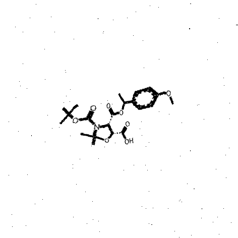 COc1ccc(C(C)OC(=O)[C@@H]2[C@H](C(=O)O)OC(C)(C)N2C(=O)OC(C)(C)C)cc1